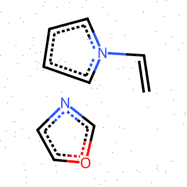 C=Cn1cccc1.c1cocn1